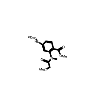 CCCCCCCCCCNc1ccc(C(=O)OC)c(N(C)C(=O)COC)c1